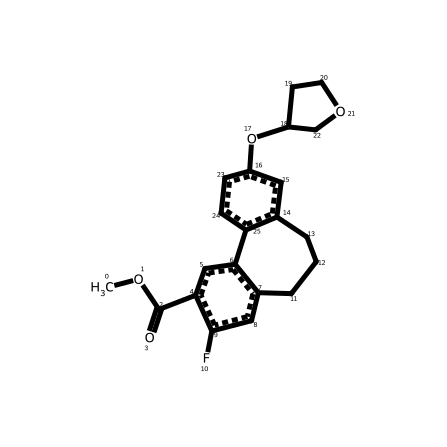 COC(=O)c1cc2c(cc1F)CCCc1cc(OC3CCOC3)ccc1-2